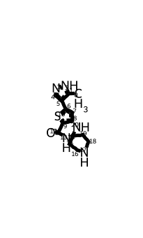 Cc1[nH]ncc1-c1cc2c(s1)C(=O)NC1(CCNCC1)N2